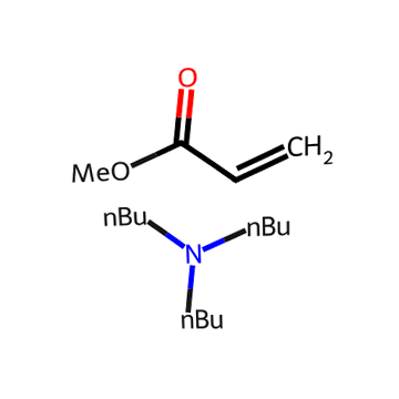 C=CC(=O)OC.CCCCN(CCCC)CCCC